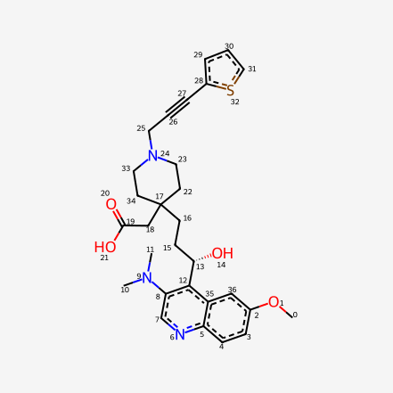 COc1ccc2ncc(N(C)C)c([C@@H](O)CCC3(CC(=O)O)CCN(CC#Cc4cccs4)CC3)c2c1